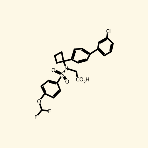 O=C(O)CN(C1(c2ccc(-c3cccc(Cl)c3)cc2)CCC1)S(=O)(=O)c1ccc(OC(F)F)cc1